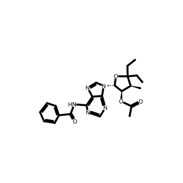 CCC1(CC)O[C@@H](n2cnc3c(NC(=O)c4ccccc4)ncnc32)[C@H](OC(C)=O)[C@@H]1C